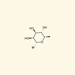 C[C@H]1O[C@H](Br)[C@@H](O)[C@@H](O)[C@@H]1O